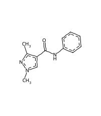 Cc1nn(C)cc1C(=O)Nc1ccccc1